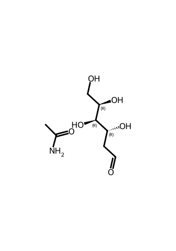 CC(N)=O.O=CC[C@@H](O)[C@@H](O)[C@H](O)CO